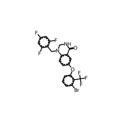 O=C1NCN(Cc2c(F)cc(F)cc2F)c2ccc(Oc3cccc(Br)c3C(F)(F)F)cc21